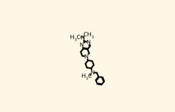 CN(C)c1ncc2c(n1)CCN(C1CCC(N(C)Cc3ccccc3)CC1)C2